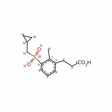 Cc1c(CCC(=O)O)cccc1S(=O)(=O)CC1CC1